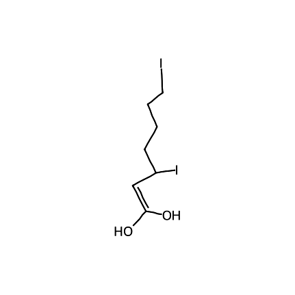 OC(O)=CC(I)CCCCI